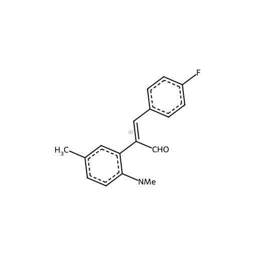 CNc1ccc(C)cc1/C(C=O)=C/c1ccc(F)cc1